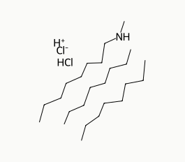 CCCCCCCC.CCCCCCCC.CCCCCCCCNC.Cl.[Cl-].[H+]